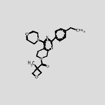 CCc1c[c]c(-c2nc3c(c(N4CCOCC4)n2)CCN(C(=O)C2(C)COC2)C3)cc1